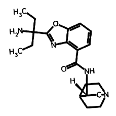 CCC(N)(CC)c1nc2c(C(=O)N[C@@H]3CN4CCC3CC4)cccc2o1